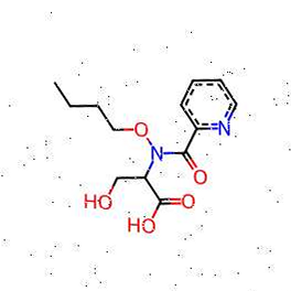 CCCCON(C(=O)c1ccccn1)C(CO)C(=O)O